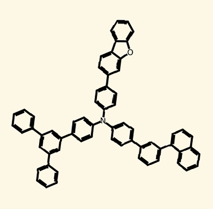 c1ccc(-c2cc(-c3ccccc3)cc(-c3ccc(N(c4ccc(-c5cccc(-c6cccc7ccccc67)c5)cc4)c4ccc(-c5ccc6c(c5)oc5ccccc56)cc4)cc3)c2)cc1